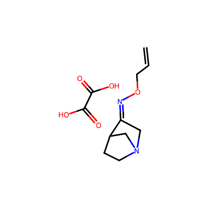 C=CCO/N=C1\CN2CCC1C2.O=C(O)C(=O)O